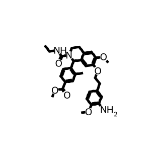 CCNC(=O)N1CCc2cc(OC)c(OCCc3ccc(OC)c(N)c3)cc2C1c1ccc(C(=O)OC)cc1C